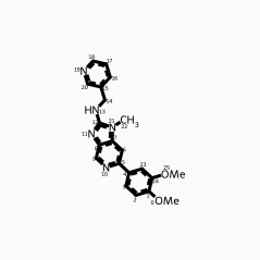 COc1ccc(-c2cc3c(cn2)nc(NCc2cccnc2)n3C)cc1OC